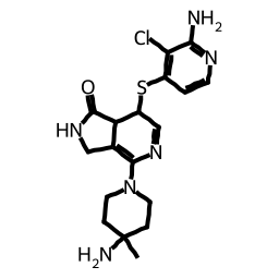 CC1(N)CCN(C2=C3CNC(=O)C3C(Sc3ccnc(N)c3Cl)C=N2)CC1